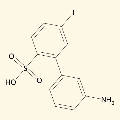 Nc1cccc(-c2cc(I)ccc2S(=O)(=O)O)c1